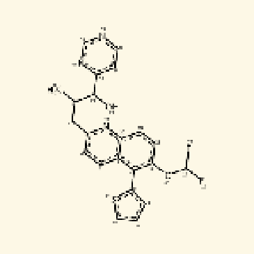 CC(Cc1ccc2c(-c3cccs3)c(OC(F)F)ccc2n1)C(O)c1ccncn1